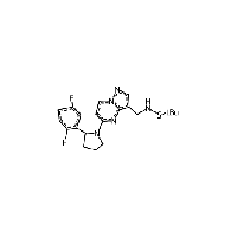 CC(C)(C)SNCc1cnn2ccc(N3CCCC3c3cc(F)ccc3F)nc12